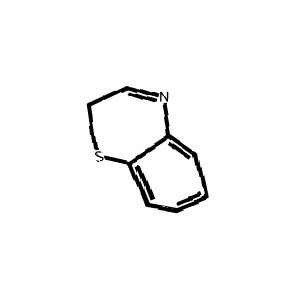 C1=Nc2ccccc2SC1